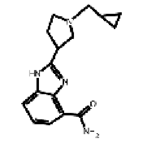 NC(=O)c1cccc2[nH]c(C3CCN(CC4CC4)C3)nc12